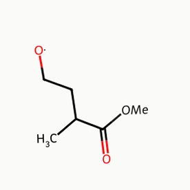 COC(=O)C(C)CC[O]